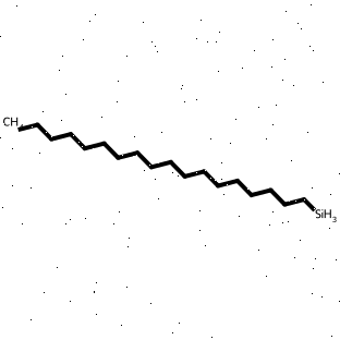 C.CCCCCCCCCCCCCCCCCC[SiH3]